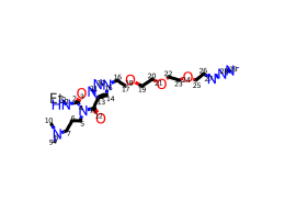 CCNC(=O)N(CCCN(C)C)C(=O)c1cn(CCOCCOCCOCCN=[N+]=[N-])nn1